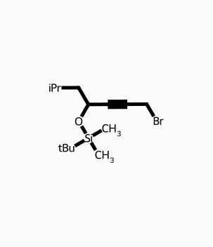 CC(C)CC(C#CCBr)O[Si](C)(C)C(C)(C)C